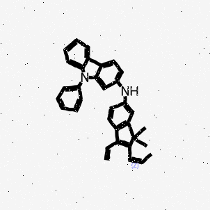 C=CC1=C(/C=C\C)C(C)(C)c2cc(Nc3ccc4c5ccccc5n(-c5ccccc5)c4c3)ccc21